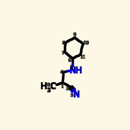 CC(C#N)CNC1CCCCC1